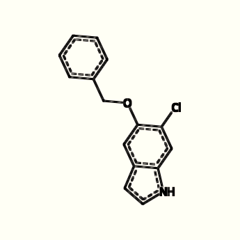 Clc1cc2[nH]ccc2cc1OCc1ccccc1